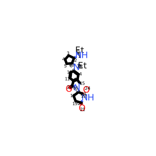 CCNC1CCC[C@H]1N(CC)c1ccc2c(c1)CN(C1CCC(=O)NC1=O)C2=O